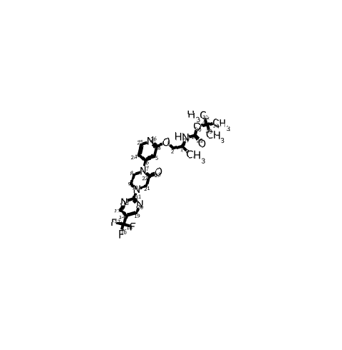 CC(COc1cc(N2CCN(c3ncc(C(F)(F)F)cn3)CC2=O)ccn1)NC(=O)OC(C)(C)C